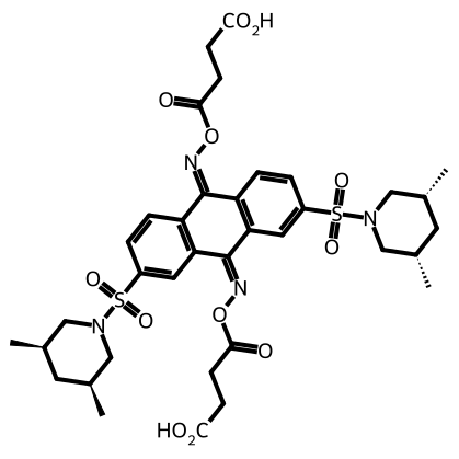 C[C@@H]1C[C@H](C)CN(S(=O)(=O)c2ccc3c(c2)C(=NOC(=O)CCC(=O)O)c2cc(S(=O)(=O)N4C[C@H](C)C[C@H](C)C4)ccc2C3=NOC(=O)CCC(=O)O)C1